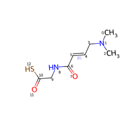 CN(C)C/C=C/C(=O)NCC(=O)S